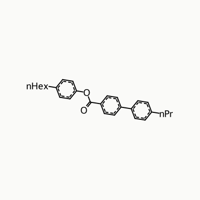 CCCCCCc1ccc(OC(=O)c2ccc(-c3ccc(CCC)cc3)cc2)cc1